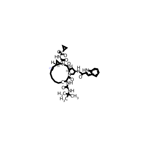 CC(C)(C)NC(=O)N[C@H]1CCCCC/C=C\[C@@H]2C[C@@]2(C(=O)NS(=O)(=O)C2CC2)NC(=O)[C@@H]2C[C@@H](NC(=O)c3cc4ccccc4[nH]3)CN2C1=O